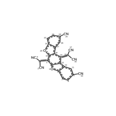 N#CC(C#N)=c1c2oc3ccc(C#N)cc3c2c(=C(C#N)C#N)c2c1oc1ccc(C#N)cc12